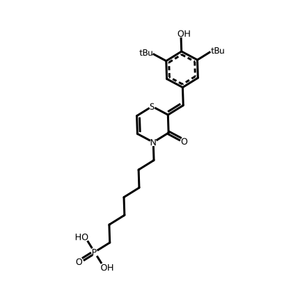 CC(C)(C)c1cc(/C=C2\SC=CN(CCCCCCCP(=O)(O)O)C2=O)cc(C(C)(C)C)c1O